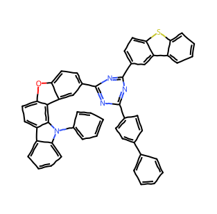 c1ccc(-c2ccc(-c3nc(-c4ccc5sc6ccccc6c5c4)nc(-c4ccc5oc6ccc7c8ccccc8n(-c8ccccc8)c7c6c5c4)n3)cc2)cc1